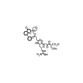 CC(=O)OCC(NC(=O)CNC(=O)C(CCCNC(=N)N)NC(=O)CCC(=O)OC[N+]1(c2cc(=O)c3cccc(-c4ccccc4)c3o2)CCOCC1)C(=O)O